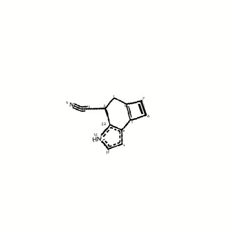 N#CC1CC2=C(C=C2)c2cc[nH]c21